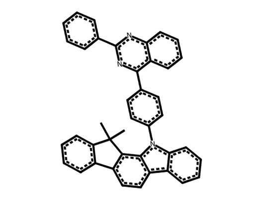 CC1(C)c2ccccc2-c2ccc3c4ccccc4n(-c4ccc(-c5nc(-c6ccccc6)nc6ccccc56)cc4)c3c21